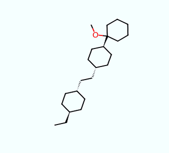 CC[C@H]1CC[C@H](CC[C@H]2CC[C@H](C3(OC)CCCCC3)CC2)CC1